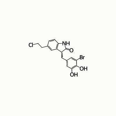 O=C1Nc2ccc(CCCl)cc2C1=Cc1cc(O)c(O)c(Br)c1